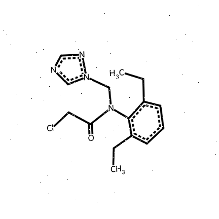 CCc1cccc(CC)c1N(Cn1cncn1)C(=O)CCl